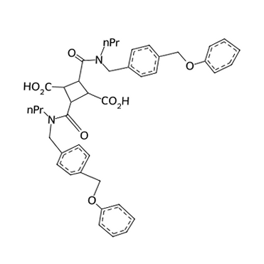 CCCN(Cc1ccc(COc2ccccc2)cc1)C(=O)C1C(C(=O)O)C(C(=O)N(CCC)Cc2ccc(COc3ccccc3)cc2)C1C(=O)O